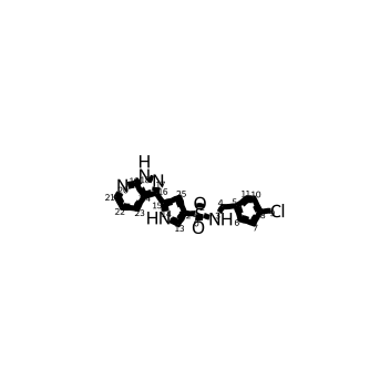 O=S(=O)(NCc1ccc(Cl)cc1)c1c[nH]c(-c2n[nH]c3ncccc23)c1